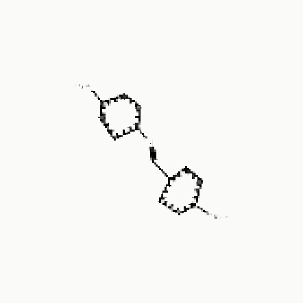 COc1ccc(C=Nc2ccc(SC)cc2)cc1